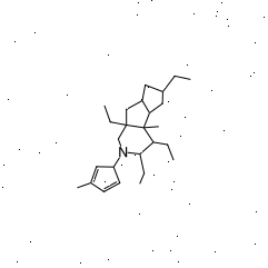 CCC1CC2CC3(CC)CN(C4C=CC(C)=C4)C(CC)C(CC)C3(C)C2C1